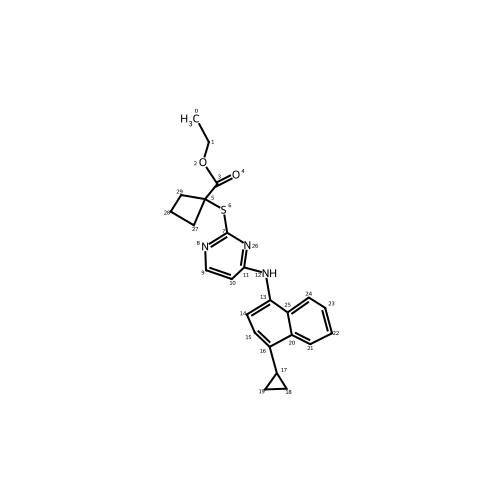 CCOC(=O)C1(Sc2nccc(Nc3ccc(C4CC4)c4ccccc34)n2)CCC1